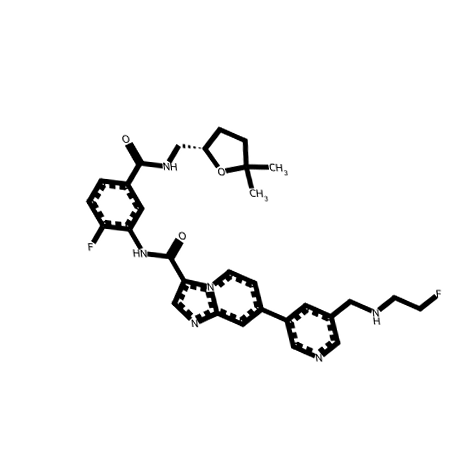 CC1(C)CC[C@@H](CNC(=O)c2ccc(F)c(NC(=O)c3cnc4cc(-c5cncc(CNCCF)c5)ccn34)c2)O1